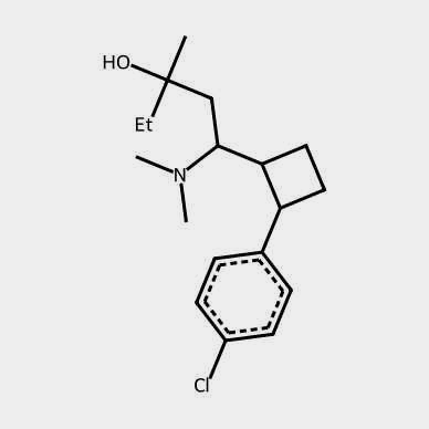 CCC(C)(O)CC(C1CCC1c1ccc(Cl)cc1)N(C)C